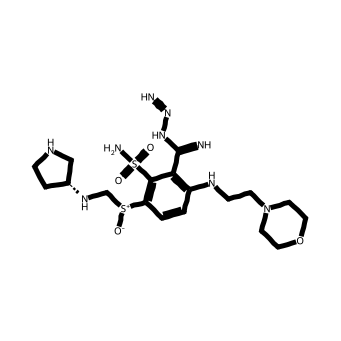 N=NNC(=N)c1c(NCCN2CCOCC2)ccc([S+]([O-])CN[C@@H]2CCNC2)c1S(N)(=O)=O